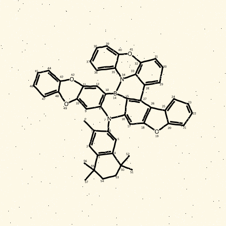 Cc1cc2c(cc1N1c3cc4c(cc3B3c5c1cc1oc6ccccc6c1c5-c1cccc5c1N3c1ccccc1O5)Oc1ccccc1O4)C(C)(C)CCC2(C)C